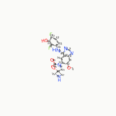 COc1cc2ncnc(Nc3ccc(F)c(O)c3F)c2cc1N1CC2(CNC2)OC1=O